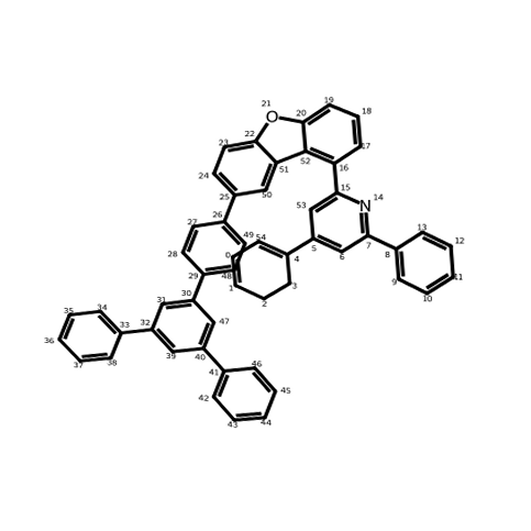 C1=CCCC(c2cc(-c3ccccc3)nc(-c3cccc4oc5ccc(-c6ccc(-c7cc(-c8ccccc8)cc(-c8ccccc8)c7)cc6)cc5c34)c2)=C1